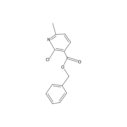 Cc1ccc(C(=O)OCc2ccccc2)c(Cl)n1